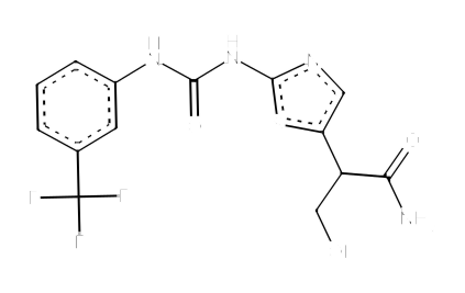 NC(=O)C(CO)c1cnc(NC(=O)Nc2cccc(C(F)(F)F)c2)s1